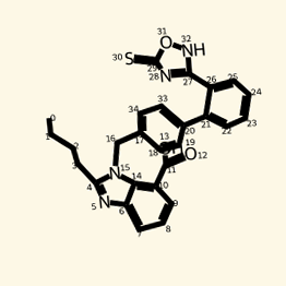 CCCCc1nc2cccc(C(=O)O)c2n1Cc1ccc(-c2ccccc2-c2nc(=S)o[nH]2)cc1